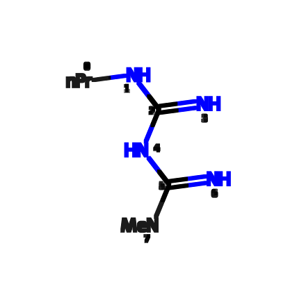 CCCNC(=N)NC(=N)NC